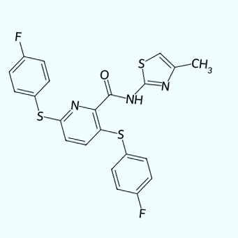 Cc1csc(NC(=O)c2nc(Sc3ccc(F)cc3)ccc2Sc2ccc(F)cc2)n1